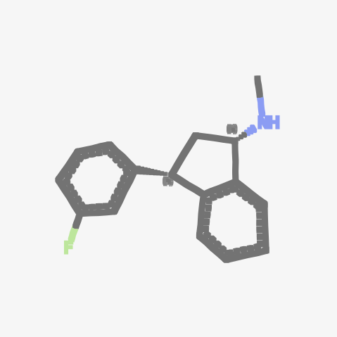 CN[C@H]1C[C@@H](c2cccc(F)c2)c2ccccc21